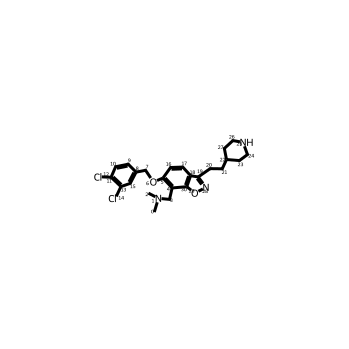 CN(C)Cc1c(OCc2ccc(Cl)c(Cl)c2)ccc2c(CCC3CCNCC3)noc12